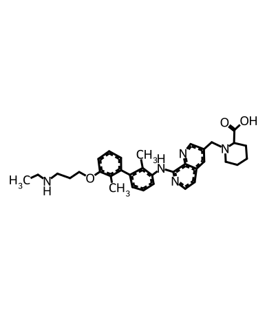 CCNCCCOc1cccc(-c2cccc(Nc3nccc4cc(CN5CCCCC5C(=O)O)cnc34)c2C)c1C